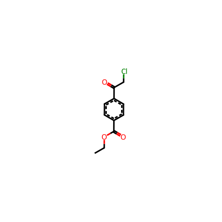 CCOC(=O)c1ccc(C(=O)CCl)cc1